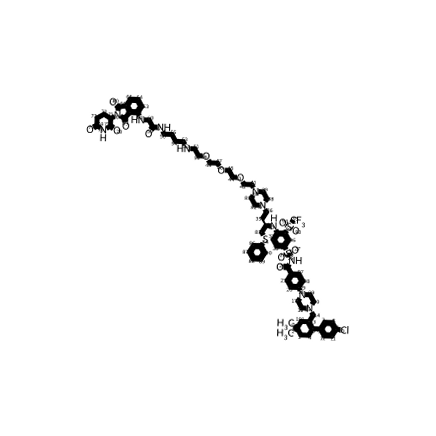 CC1(C)CCC(c2ccc(Cl)cc2)=C(CN2CCN(c3ccc(C(=O)NS(=O)(=O)c4ccc(N[C@H](CCN5CCN(CCOCCOCCOCCNCCCCNC(=O)CNc6cccc7c6C(=O)N(C6CCC(=O)NC6=O)C7=O)CC5)CSc5ccccc5)c(S(=O)(=O)C(F)(F)F)c4)cc3)CC2)C1